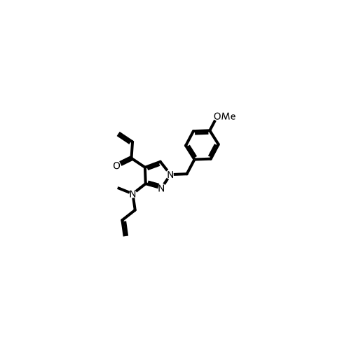 C=CCN(C)c1nn(Cc2ccc(OC)cc2)cc1C(=O)C=C